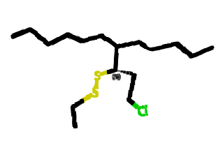 CCCCCCC(CCCCC)[C@H](CCCl)SSCC